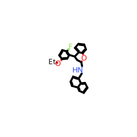 CCOc1ccc(F)c(C2CC(CNCc3cccc4ccccc34)Oc3ccccc32)c1